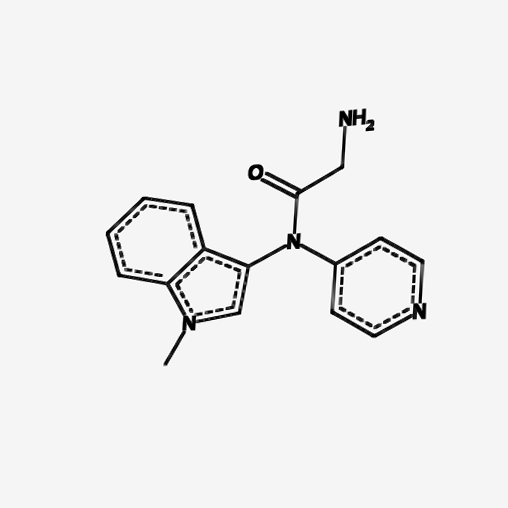 Cn1cc(N(C(=O)CN)c2ccncc2)c2ccccc21